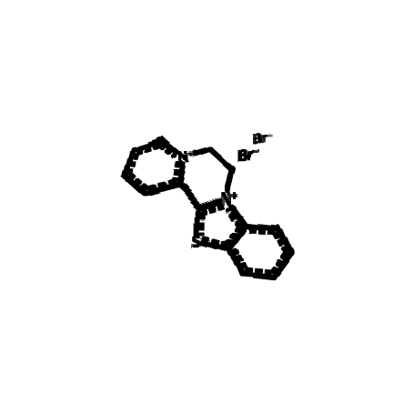 [Br-].[Br-].c1cc[n+]2c(c1)-c1sc3ccccc3[n+]1CC2